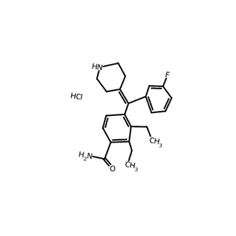 CCc1c(C(N)=O)ccc(C(=C2CCNCC2)c2cccc(F)c2)c1CC.Cl